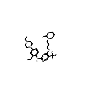 CCc1cc(N2CCN(CC)CC2)ccc1Nc1ncc(C(F)(F)F)c(NCCCN2CCCCC2=O)n1